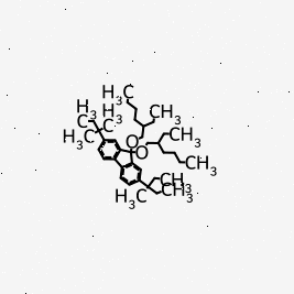 CCCCC(CC)COC1(OCC(CC)CCCC)c2cc(C(C)(C)CC)ccc2-c2ccc(C(C)(CC)CC)cc21